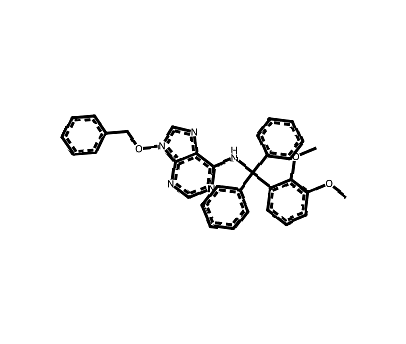 COc1cccc(C(Nc2ncnc3c2ncn3OCc2ccccc2)(c2ccccc2)c2ccccc2)c1OC